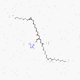 C=C(CCCCCCCC(C)CCCCCCCCC)CCC(CCPCN(C)C)CC(=O)CCCCCCCC1CC1CCCCCCCC